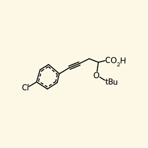 CC(C)(C)OC(CC#Cc1ccc(Cl)cc1)C(=O)O